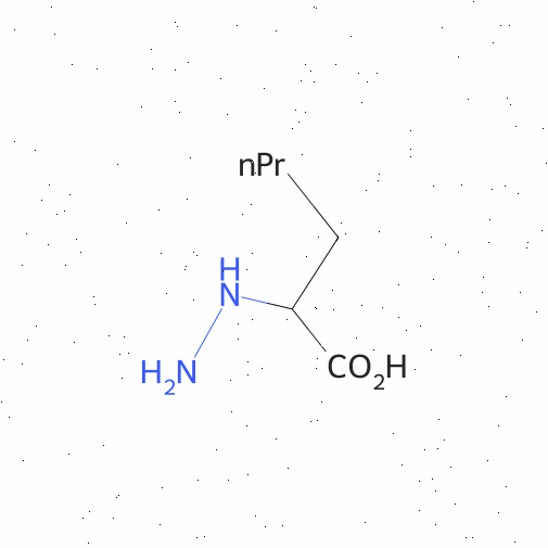 CCCCC(NN)C(=O)O